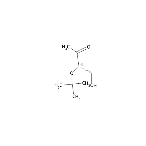 CC(=O)[C@H](CO)OC(C)(C)C